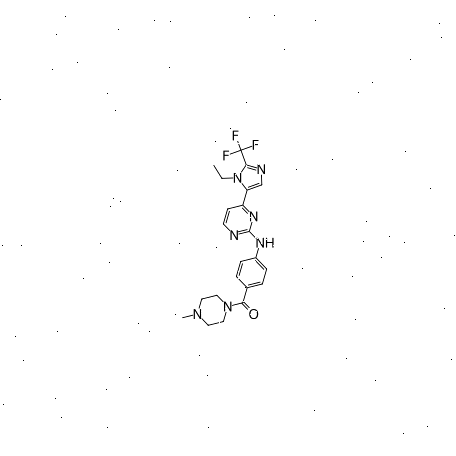 CCn1c(-c2ccnc(Nc3ccc(C(=O)N4CCN(C)CC4)cc3)n2)cnc1C(F)(F)F